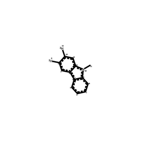 [2H]c1cc2c3ccccc3n(C)c2cc1[2H]